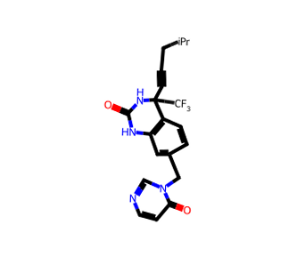 CC(C)CC#CC1(C(F)(F)F)NC(=O)Nc2cc(Cn3cnccc3=O)ccc21